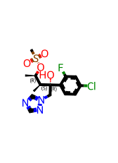 C[C@@H](OS(C)(=O)=O)[C@H](C)[C@](O)(Cn1cncn1)c1ccc(Cl)cc1F